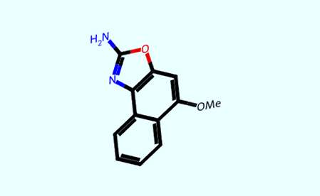 COc1cc2oc(N)nc2c2ccccc12